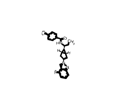 CCC(NC(=O)c1ccc(Cl)cc1)[C@H]1[C@@H]2C[C@@H](n3cc4c(F)cccc4n3)C[C@@H]21